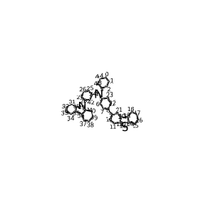 c1ccc(N(c2ccc(-c3ccc4sc5ccccc5c4c3)cc2)c2cccc(-n3c4ccccc4c4ccccc43)c2)cc1